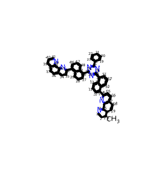 CC1C=CN=C2c3nc(-c4cccc5c(-c6nc(-c7ccccc7)nc(-c7cccc8c(-c9ccc%10ccc%11cccnc%11c%10n9)cccc78)n6)cccc45)ccc3C=CC21